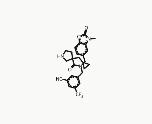 Cn1c(=O)oc2ccc(CN(Cc3cc(C#N)cc(C(F)(F)F)c3)C(=O)C3(CC4CC4)CCNC3)cc21